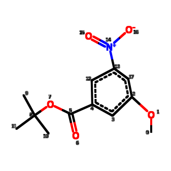 COc1cc(C(=O)OC(C)(C)C)cc([N+](=O)[O-])c1